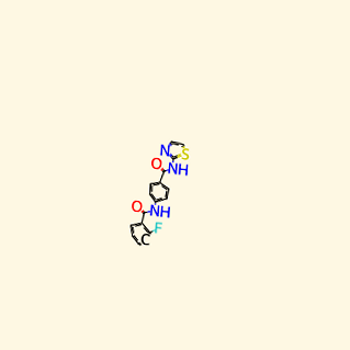 O=C(Nc1nccs1)c1ccc(NC(=O)c2ccccc2F)cc1